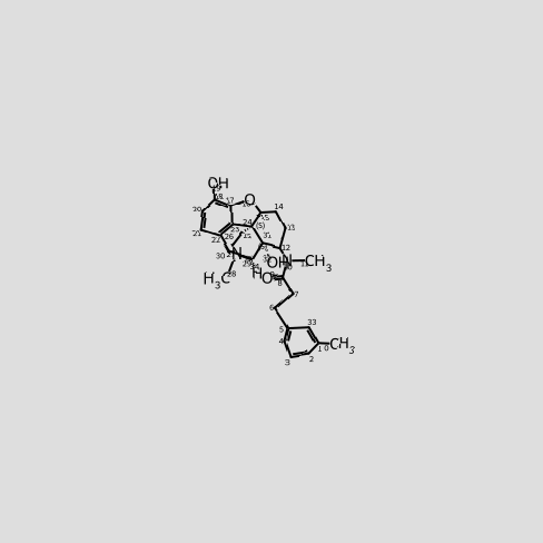 Cc1cccc(CCC(=O)N(C)C2CCC3Oc4c(O)ccc5c4[C@@]34CCN(C)[C@H](C5)[C@]24O)c1